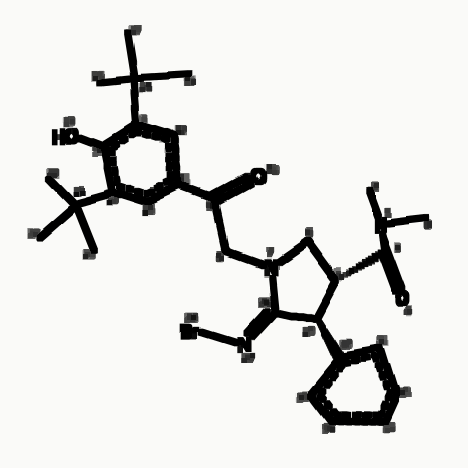 CN(C)C(=O)[C@H]1CN(CC(=O)c2cc(C(C)(C)C)c(O)c(C(C)(C)C)c2)/C(=N\Br)[C@@H]1c1ccccc1